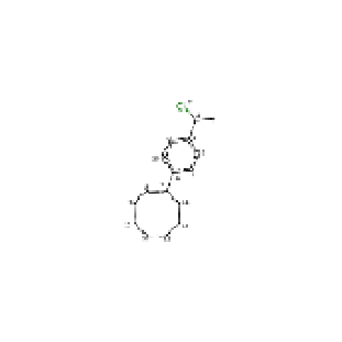 CC(Cl)c1ccc(C2=CCCCCCC2)cc1